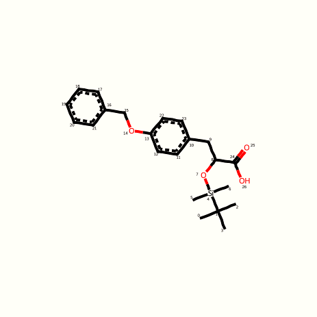 CC(C)(C)[Si](C)(C)OC(Cc1ccc(OCc2ccccc2)cc1)C(=O)O